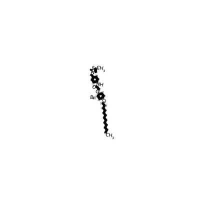 CCCCCCCCCCCCCCOc1ccc(OCC(=O)Nc2ccc(C[n+]3csc(C)c3)cc2)cc1.[Br-]